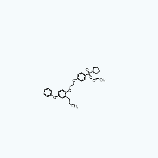 CCCc1cc(Oc2ccccc2)ccc1OCCOc1ccc(S(=O)(=O)N2CCC[C@@H]2C(=O)O)cc1